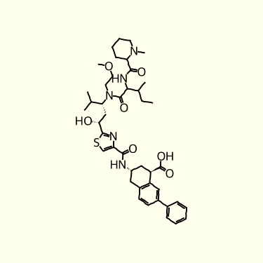 CCC(C)C(NC(=O)C1CCCCN1C)C(=O)N(CCOC)[C@H](C[C@@H](O)c1nc(C(=O)N[C@H]2Cc3ccc(-c4ccccc4)cc3[C@H](C(=O)O)C2)cs1)C(C)C